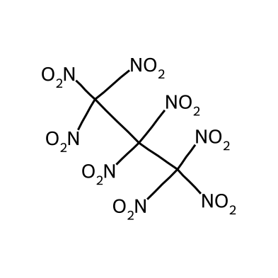 O=[N+]([O-])C([N+](=O)[O-])([N+](=O)[O-])C([N+](=O)[O-])([N+](=O)[O-])C([N+](=O)[O-])([N+](=O)[O-])[N+](=O)[O-]